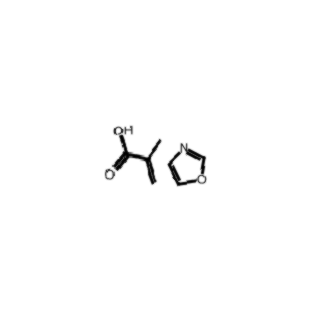 C=C(C)C(=O)O.c1cocn1